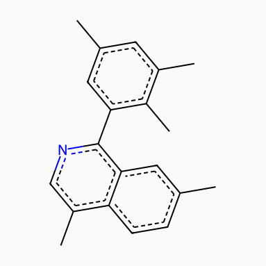 Cc1cc(C)c(C)c(-c2ncc(C)c3ccc(C)cc23)c1